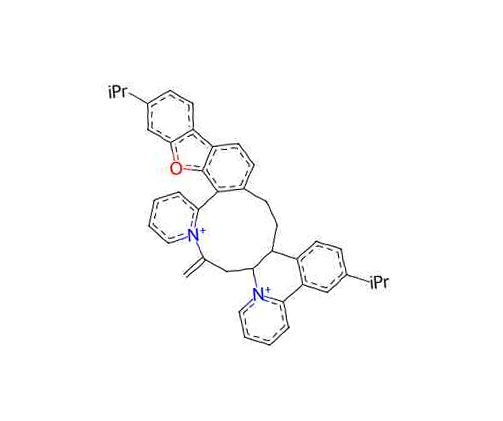 C=C1CC2C(CCc3ccc4c(oc5cc(C(C)C)ccc54)c3-c3cccc[n+]31)c1ccc(C(C)C)cc1-c1cccc[n+]12